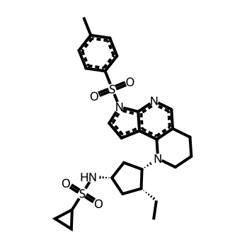 CC[C@@H]1C[C@H](NS(=O)(=O)C2CC2)C[C@@H]1N1CCCc2cnc3c(ccn3S(=O)(=O)c3ccc(C)cc3)c21